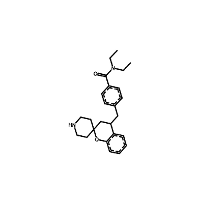 CCN(CC)C(=O)c1ccc(CC2CC3(CCNCC3)Oc3ccccc32)cc1